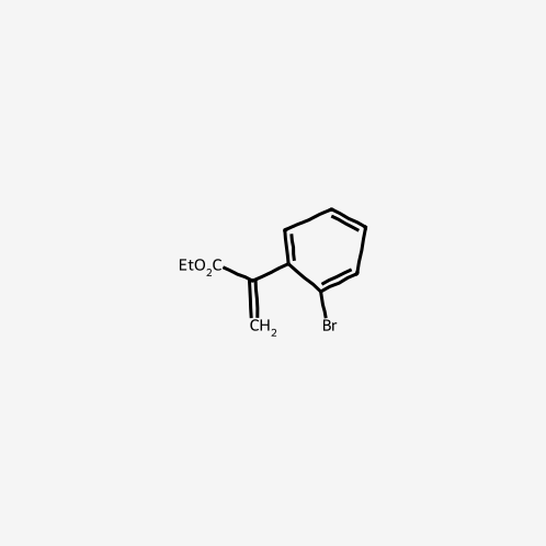 C=C(C(=O)OCC)c1ccccc1Br